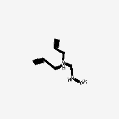 C=CC[SiH](CC=C)CNCCC